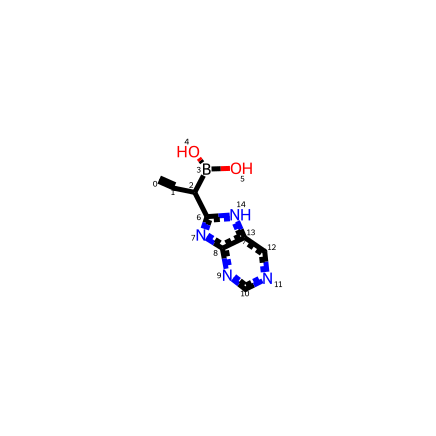 C=CC(B(O)O)c1nc2ncncc2[nH]1